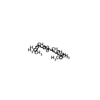 C=CC(C)(/C=C/c1ccc(OC(=O)C/C=C(C)/C=C/C=C(C)/C=C/C2=C(C)CCCC2(C)C)cc1)CCC=C(C)C